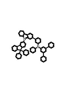 c1ccc(-c2cc(-c3ccccc3)cc(N(c3ccccc3)c3cccc(-c4ccc5c6ccccc6n(-c6ccc7c(c6)-c6ccccc6C7(c6ccccc6)c6ccccc6)c5c4)c3)c2)cc1